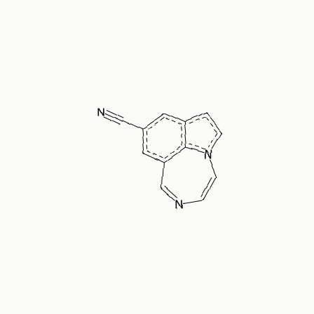 N#Cc1cc2c3c(ccn3C=CN=C2)c1